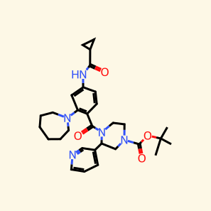 CC(C)(C)OC(=O)N1CCN(C(=O)c2ccc(NC(=O)C3CC3)cc2N2CCCCCC2)C(c2cccnc2)C1